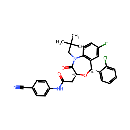 CC(C)(C)CN1C(=O)[C@H](CC(=O)Nc2ccc(C#N)cc2)O[C@@H](c2ccccc2Cl)c2cc(Cl)ccc21